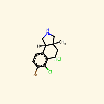 C[C@@]12CCc3c(ccc(Br)c3Cl)[C@@H]1CNC2.Cl